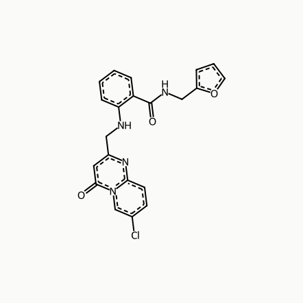 O=C(NCc1ccco1)c1ccccc1NCc1cc(=O)n2cc(Cl)ccc2n1